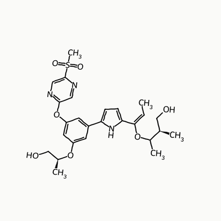 C/C=C(/OC(C)[C@H](C)CO)c1ccc(-c2cc(Oc3cnc(S(C)(=O)=O)cn3)cc(O[C@@H](C)CO)c2)[nH]1